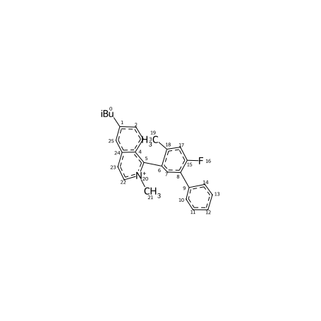 CCC(C)c1ccc2c(-c3cc(-c4ccccc4)c(F)cc3C)[n+](C)ccc2c1